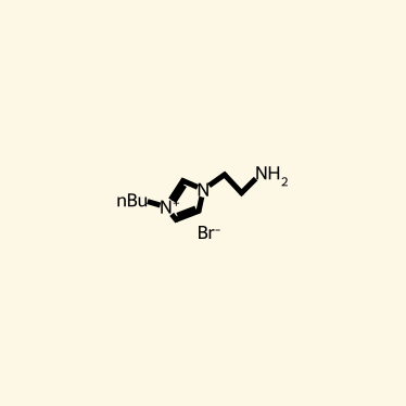 CCCC[n+]1ccn(CCN)c1.[Br-]